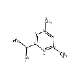 CCCC(CC)c1cc(C)cc(C)n1